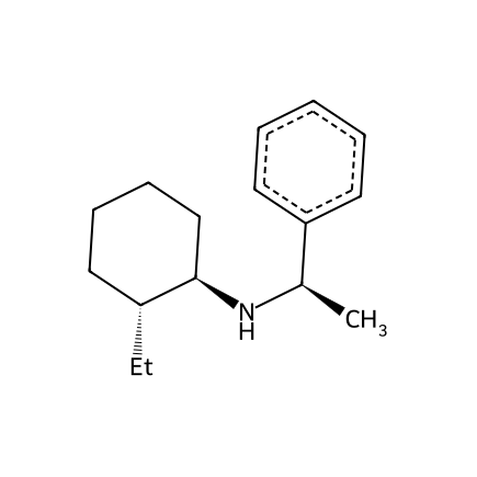 CC[C@@H]1CCCC[C@H]1N[C@H](C)c1ccccc1